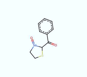 O=C(c1ccccc1)C1SCC[N+]1=O